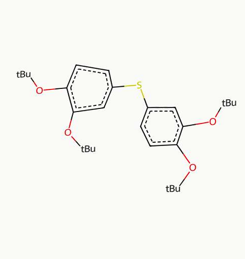 CC(C)(C)Oc1ccc(Sc2ccc(OC(C)(C)C)c(OC(C)(C)C)c2)cc1OC(C)(C)C